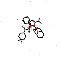 [2H]C([2H])(C[C@H](NC(=O)C1CCC(F)(F)CC1)c1ccccc1)N1C2CCCC1CC(n1c(C(C)C)cnc1C)C2